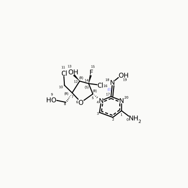 Nc1ccn([C@@H]2O[C@@](CO)(CCl)[C@@H](O)[C@]2(F)Cl)/c(=N/O)n1